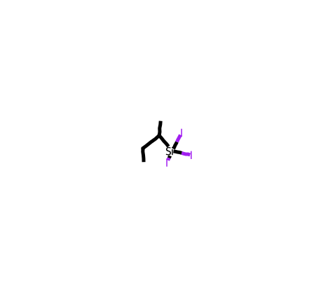 CCC(C)[Si](I)(I)I